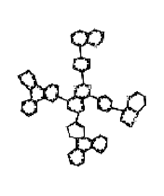 C1=Nc2c(cccc2-c2ccc(-c3nc(-c4ccc(-c5cccc6cccnc56)cc4)nc4c(-c5ccc6c7ccccc7c7ccccc7c6c5)cc(C5=Cc6c(c7ccccc7c7ccccc67)CC5)cc34)cc2)CC1